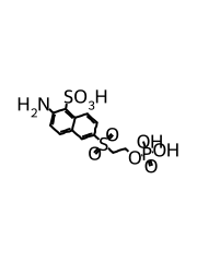 Nc1ccc2cc(S(=O)(=O)CCOP(=O)(O)O)ccc2c1S(=O)(=O)O